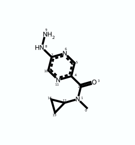 CN(C(=O)c1cnc(NN)cn1)C1CC1